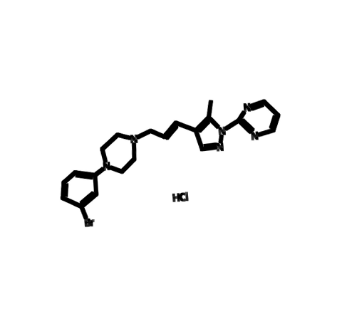 Cc1c(/C=C/CN2CCN(c3cccc(Br)c3)CC2)cnn1-c1ncccn1.Cl